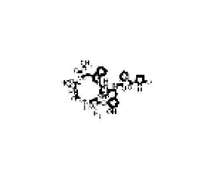 COC(=O)[C@@H]1Cc2cn(c3ccccc23)[C@@H](NC(=O)[C@H](Cc2ccc(O)cc2)NC(=O)[C@@H]2CCCN2C(=O)[C@@H]2CCC(=O)N2)C(=O)N[C@@H](C(C)C)C(=O)NCC(=O)N[C@@H](CO)C(=O)N1